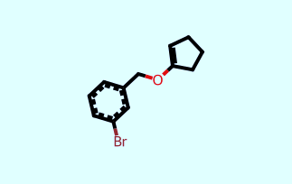 Brc1cccc(COC2=CCCC2)c1